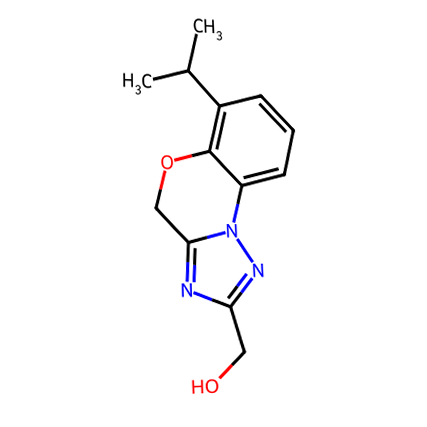 CC(C)c1cccc2c1OCc1nc(CO)nn1-2